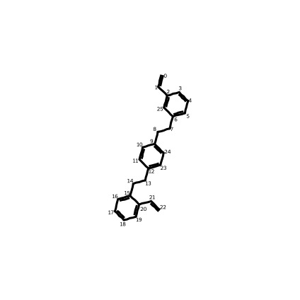 C=Cc1cccc(CCc2ccc(CCc3ccccc3C=C)cc2)c1